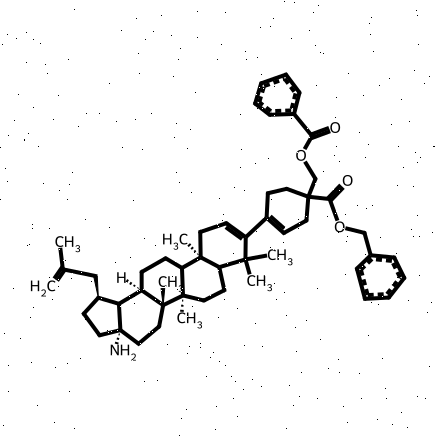 C=C(C)C[C@@H]1CC[C@]2(N)CC[C@]3(C)[C@H](CCC4[C@@]5(C)CC=C(C6=CCC(COC(=O)c7ccccc7)(C(=O)OCc7ccccc7)CC6)C(C)(C)C5CC[C@]43C)C12